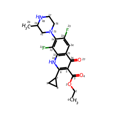 CCOC(=O)c1c(C2CC2)[nH]c2c(F)c(N3CCNC(C)C3)c(F)cc2c1=O